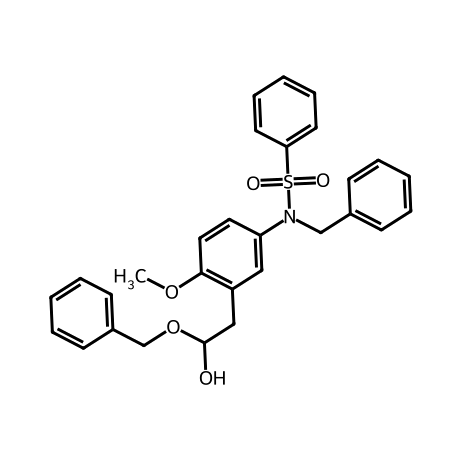 COc1ccc(N(Cc2ccccc2)S(=O)(=O)c2ccccc2)cc1CC(O)OCc1ccccc1